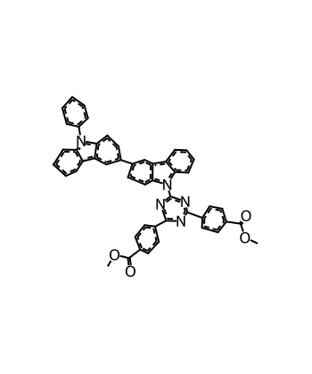 COC(=O)c1ccc(-c2nc(-c3ccc(C(=O)OC)cc3)nc(-n3c4ccccc4c4cc(-c5ccc6c(c5)c5ccccc5n6-c5ccccc5)ccc43)n2)cc1